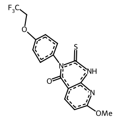 COc1ccc2c(=O)n(-c3ccc(OCC(F)(F)F)cc3)c(=S)[nH]c2n1